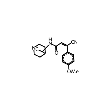 COc1ccc(C(C#N)=CC(=O)NC2CN3CCC2CC3)cc1